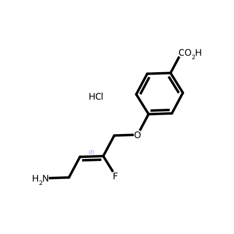 Cl.NC/C=C(\F)COc1ccc(C(=O)O)cc1